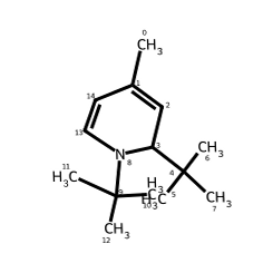 CC1=CC(C(C)(C)C)N(C(C)(C)C)C=C1